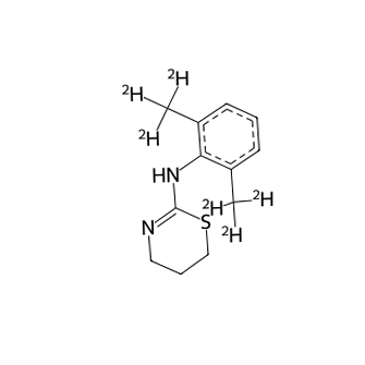 [2H]C([2H])([2H])c1cccc(C([2H])([2H])[2H])c1NC1=NCCCS1